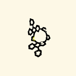 c1ccc(-c2c3ccccc3c3c4ccc(s4)c4c5ccccc5c(-c5ccccc5)c5ccc(cc54)c4cccc(c4)c4cccc(c4)c4ccc2c3c4)cc1